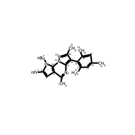 CCCCn1c(CCC)cc2c(C)nc3c(-c4c(C)cc(C)cc4C)c(C)nn3c21